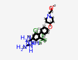 COCCN1CCC(Oc2ccc(-c3c(Cl)cc(C4(N)N=C(N)NN4)cc3C(F)(F)F)cc2)CC1